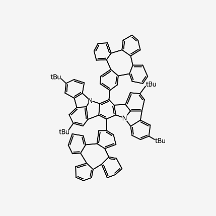 CC(C)(C)c1ccc2c(c1)c1cc(C(C)(C)C)cc3c4c(-c5ccc6c(c5)-c5ccccc5-c5ccccc5-c5ccccc5-6)c5c(c(-c6ccc7c(c6)-c6ccccc6-c6ccccc6-c6ccccc6-7)c4n2c13)c1cc(C(C)(C)C)cc2c3cc(C(C)(C)C)ccc3n5c21